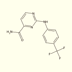 NC(=O)c1ccnc(Nc2ccc(C(F)(F)F)cc2)n1